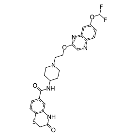 O=C1CSc2ccc(C(=O)NC3CCN(CCOc4cnc5ccc(OC(F)F)cc5n4)CC3)cc2N1